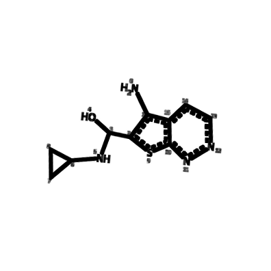 Nc1c(C(O)NC2CC2)sc2nnccc12